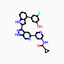 O=C(Nc1cncc(-c2cc3c(-c4cc5c(-c6cc(O)cc(F)c6)cccc5[nH]4)n[nH]c3cn2)c1)C1CC1